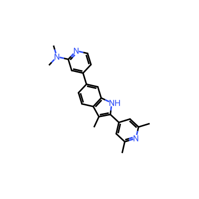 Cc1cc(-c2[nH]c3cc(-c4ccnc(N(C)C)c4)ccc3c2C)cc(C)n1